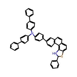 c1ccc(-c2ccc(N(c3ccc(-c4ccccc4)cc3)c3ccc(-c4ccc5c(ccc6ccc7c(c65)NC(c5ccccc5)S7)c4)cc3)cc2)cc1